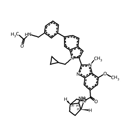 COc1cc(C(=O)N2C[C@H]3CC[C@@H]2[C@@H]3N)cc2nc(-c3cc4ccc(-c5cccc(CNC(C)=O)c5)cc4n3CC3CC3)n(C)c12